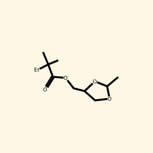 CCC(C)(C)C(=O)OCC1COC(C)O1